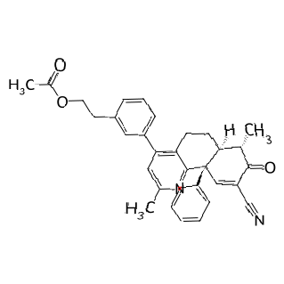 CC(=O)OCCc1cccc(-c2cc(C)nc3c2CC[C@H]2[C@H](C)C(=O)C(C#N)=C[C@]32c2ccccc2)c1